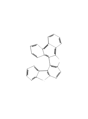 c1ccc2c(c1)[nH]c1ccc3sc4c5ccccc5c5ccccc5c4c3c12